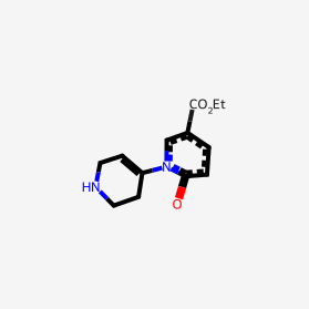 CCOC(=O)c1ccc(=O)n(C2=CCNCC2)c1